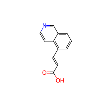 O=C(O)/C=C/c1cccc2cnccc12